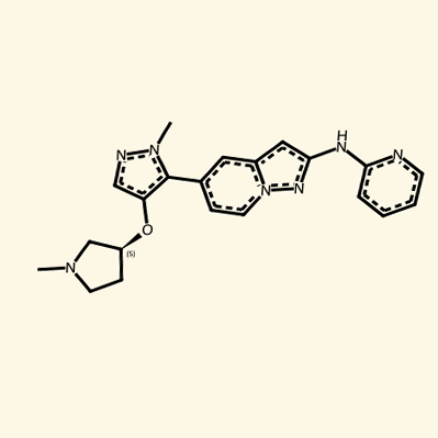 CN1CC[C@H](Oc2cnn(C)c2-c2ccn3nc(Nc4ccccn4)cc3c2)C1